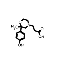 CC1(c2ccc(O)cc2)CN(CCC(=O)O)CCO1